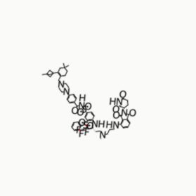 CN(CCCNc1cccc2c1C(=O)N(C1CCC(=O)NC1=O)C2=O)CC[C@H](CSc1ccccc1)Nc1ccc(S(=O)(=O)NC(=O)c2ccc(N3CCN(CC4=C(C56CC(C)(C5)C6)CC(C)(C)CC4)CC3)cc2)cc1S(=O)(=O)C(F)(F)F